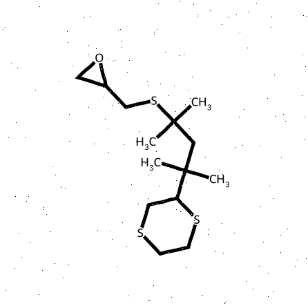 CC(C)(CC(C)(C)C1CSCCS1)SCC1CO1